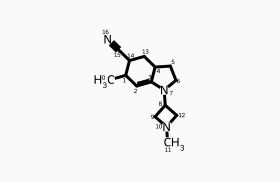 CC1C=C2C(CCN2C2CN(C)C2)CC1C#N